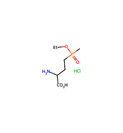 CCOP(C)(=O)CCC(N)C(=O)O.Cl